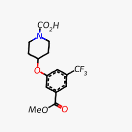 COC(=O)c1cc(OC2CCN(C(=O)O)CC2)cc(C(F)(F)F)c1